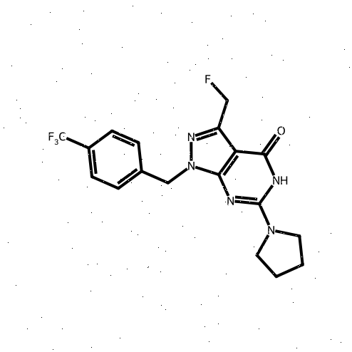 O=c1[nH]c(N2CCCC2)nc2c1c(CF)nn2Cc1ccc(C(F)(F)F)cc1